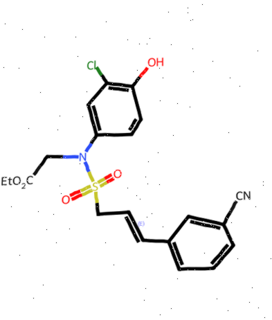 CCOC(=O)CN(c1ccc(O)c(Cl)c1)S(=O)(=O)C/C=C/c1cccc(C#N)c1